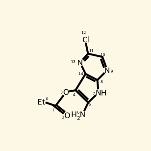 CCC(=O)Oc1c(N)[nH]c2ncc(Cl)nc12